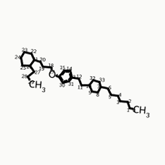 CCCCCCCC1CCC(CCc2ccc(OCCCC3CCCCC3CCC)cc2)CC1